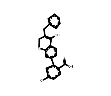 O=C(O)c1ccc(Cl)cc1-c1ccc2c(c1)OCC(Cc1ccccc1)=C2O